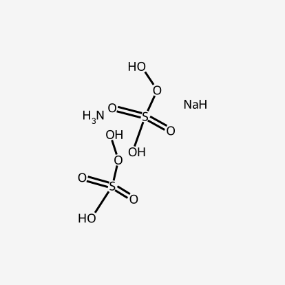 N.O=S(=O)(O)OO.O=S(=O)(O)OO.[NaH]